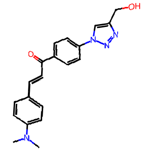 CN(C)c1ccc(C=CC(=O)c2ccc(-n3cc(CO)nn3)cc2)cc1